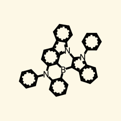 c1ccc(N2c3ccccc3B3c4c(n(-c5ccccc5)c5ccccc45)-n4c5ccccc5c5ccc2c3c54)cc1